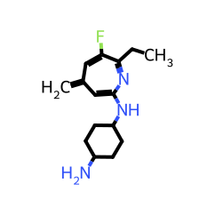 C=C1C=C(NC2CCC(N)CC2)N=C(CC)C(F)=C1